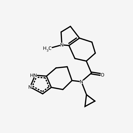 CN1CCC2=C1CC(C(=O)N(C1CC1)C1CCc3[nH]ncc3C1)CC2